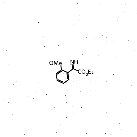 CCOC(=O)C(=N)c1ccccc1OC